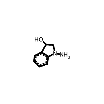 NN1CC(O)c2ccccc21